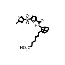 Cc1cc(S(=O)(=O)c2ccc(C(=O)NC3C(CC=CCCCC(=O)O)CC4CC3C4(C)C)s2)cs1